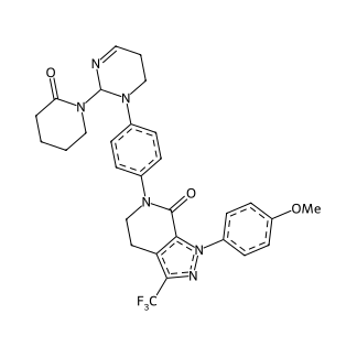 COc1ccc(-n2nc(C(F)(F)F)c3c2C(=O)N(c2ccc(N4CCC=NC4N4CCCCC4=O)cc2)CC3)cc1